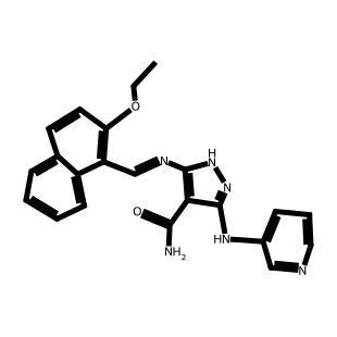 CCOc1ccc2ccccc2c1C=Nc1[nH]nc(Nc2cccnc2)c1C(N)=O